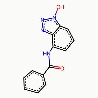 O=C(Nc1cccc2c1nnn2O)c1ccccc1